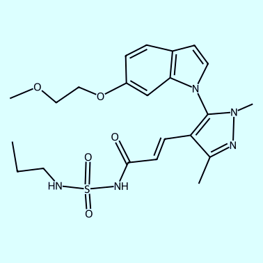 CCCNS(=O)(=O)NC(=O)C=Cc1c(C)nn(C)c1-n1ccc2ccc(OCCOC)cc21